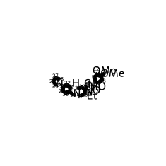 CCN(C(=O)N(C)c1ccc(OC)c(OC)c1)C1(C=O)CCN(Cc2ccc(N3CCCC3)cc2)CC1